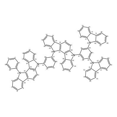 c1ccc(-n2c3ccccc3c3ccc4c(c5ccccc5n4-c4cccc(-n5c6ccccc6c6ccc7c(c8ccccc8n7-c7cc(-n8c9ccccc9c9ccccc98)cc(-n8c9ccccc9c9ccccc98)c7)c65)c4)c32)cc1